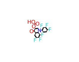 O=C(O)Oc1cn(-c2ccc(F)c(F)c2F)c2c(F)c(F)c(F)cc2c1=O